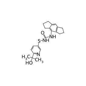 CC(C)(O)c1ccc(SNC(=O)Nc2c3c(cc4c2CCC4)CCC3)cn1